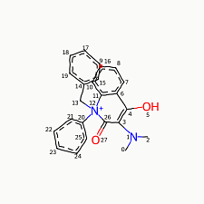 CN(C)C1=C(O)c2ccccc2[N+](Cc2ccccc2)(c2ccccc2)C1=O